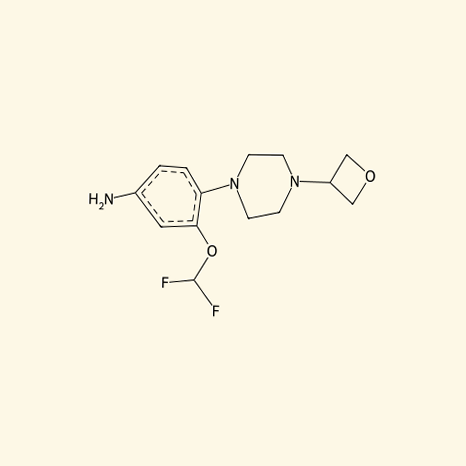 Nc1ccc(N2CCN(C3COC3)CC2)c(OC(F)F)c1